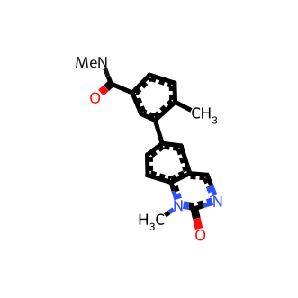 CNC(=O)c1ccc(C)c(-c2ccc3c(cnc(=O)n3C)c2)c1